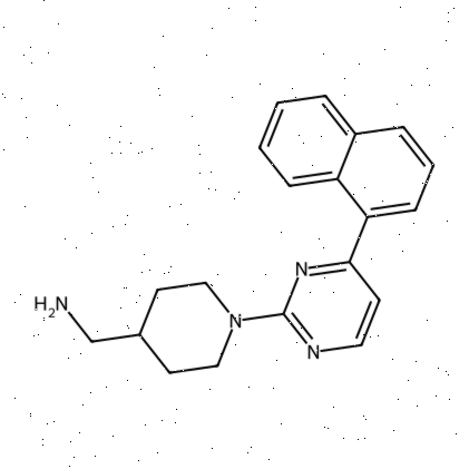 NCC1CCN(c2nccc(-c3cccc4ccccc34)n2)CC1